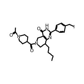 CCCCC1CN(C(=O)C2CCN(C(C)=O)CC2)Cc2c1nc(-c1ccc(CI)cc1)[nH]c2=O